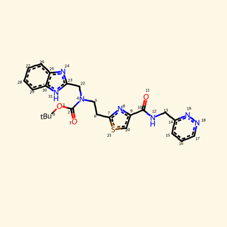 CC(C)(C)OC(=O)N(CCc1nc(C(=O)NCc2cccnn2)cs1)Cc1nc2ccccc2[nH]1